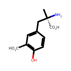 C[C@@](N)(Cc1ccc(O)c(C(=O)O)c1)C(=O)O